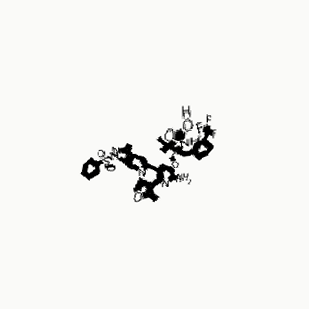 Cc1occc1-c1nc(N)c(OC[C@@](Cc2cccc(C(F)(F)F)c2)(NC(=O)O)C(C)(C)C)cc1-c1cc2c(C)nn(S(=O)(=O)c3ccccc3)c2cn1